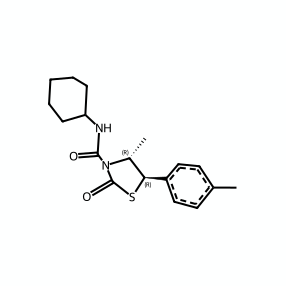 Cc1ccc([C@H]2SC(=O)N(C(=O)NC3CCCCC3)[C@@H]2C)cc1